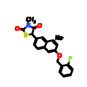 CN1C(=O)SC(c2ccc3cc(OCc4ccccc4F)ccc3c2)C1=O.[Na]